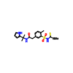 CNC(=S)NS(=O)(=O)c1cc(CC(=O)NC(C)(C)c2ccc[nH]2)ccc1C